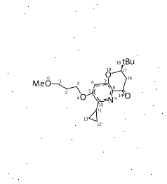 COCCCOc1cc2c(nc1C1CC1)C(=O)C[C@H](C(C)(C)C)O2